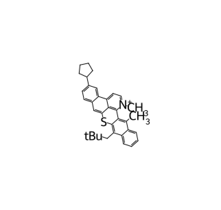 Cc1c2c(c(CC(C)(C)C)c3ccccc13)Sc1cc3ccc(C4CCCC4)cc3c3cc[n+](C)c-2c13